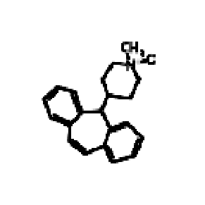 C[N+]1([O-])CCC(C2c3ccccc3C=Cc3ccccc32)CC1